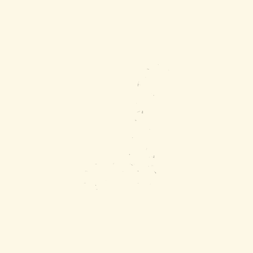 O=C(O)C[C@@H]1Nc2ccc(C(=O)NCc3nc4ccccc4[nH]3)cc2CN(CCc2cccnc2)C1=O